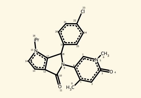 Cc1cc(=O)n(C)cc1N1C(=O)c2ccn(C(C)C)c2C1c1ccc(Cl)cc1